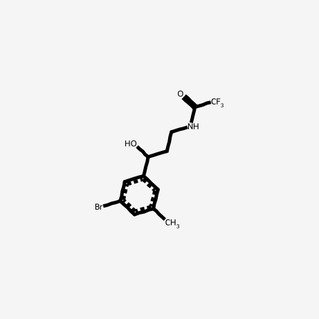 Cc1cc(Br)cc(C(O)CCNC(=O)C(F)(F)F)c1